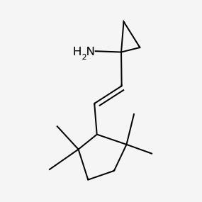 CC1(C)CCC(C)(C)C1/C=C/C1(N)CC1